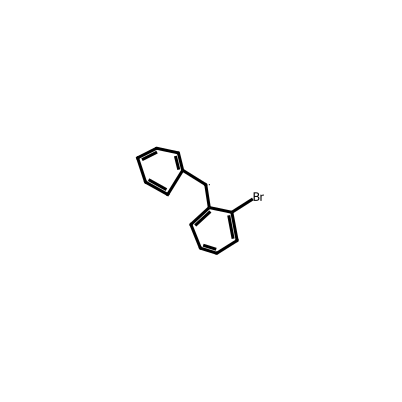 Brc1ccccc1[CH]c1ccccc1